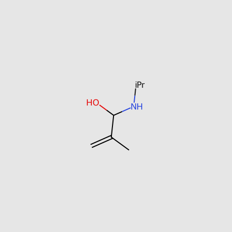 C=C(C)C(O)NC(C)C